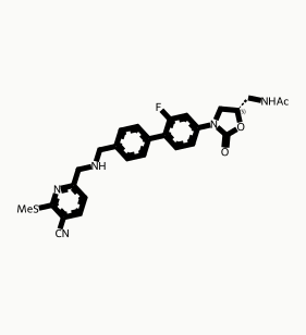 CSc1nc(CNCc2ccc(-c3ccc(N4C[C@H](CNC(C)=O)OC4=O)cc3F)cc2)ccc1C#N